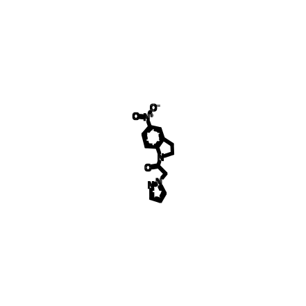 O=C(Cn1cccn1)N1CCc2cc([N+](=O)[O-])ccc21